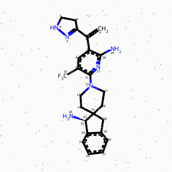 C=C(C1=NNCC1)c1cc(C(F)(F)F)c(N2CCC3(CC2)Cc2ccccc2[C@H]3N)nc1N